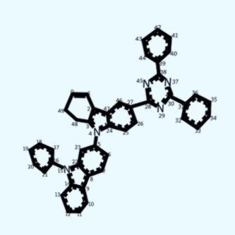 C1=Cc2c(n(-c3ccc4c5ccccc5n(-c5ccccc5)c4c3)c3ccc(-c4nc(-c5ccccc5)nc(-c5ccccc5)n4)cc23)CC1